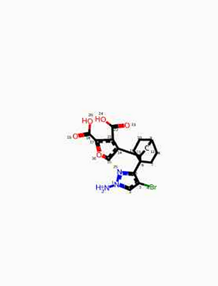 Nn1cc(Br)c(C23CCC(CC2)CC3c2coc(C(=O)O)c2C(=O)O)n1